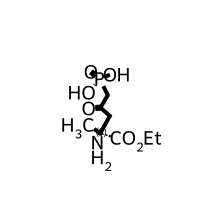 CCOC(=O)[C@@](C)(N)CC(=O)CP(=O)(O)O